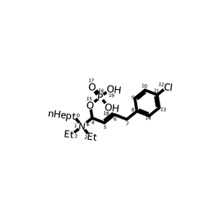 CCCCCCC[N+](CC)(CC)C(C=CCc1ccc(Cl)cc1)OP(=O)(O)O